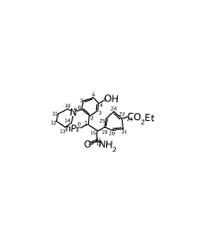 CCCC(c1cc(O)ccc1N1CCCCC1)C(C(N)=O)c1ccc(C(=O)OCC)cc1